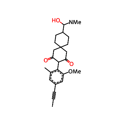 CC#Cc1cc(C)c(C2C(=O)CC3(CCC(C(O)NC)CC3)CC2=O)c(OC)c1